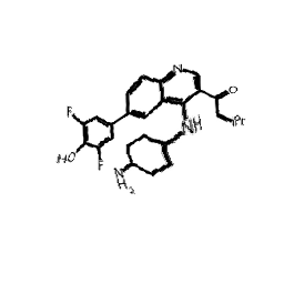 CC(C)CC(=O)c1cnc2ccc(-c3cc(F)c(O)c(F)c3)cc2c1NC1CCC(N)CC1